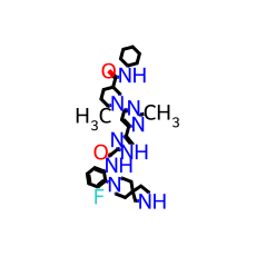 Cc1nc(-c2c[nH]c(C(=O)Nc3cccc(F)c3N3CCC4(CCNC4)CC3)n2)cc(N2CC(C(=O)NC3CCCCC3)CCC2C)n1